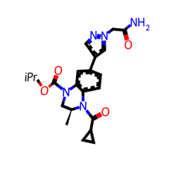 CC(C)OC(=O)N1C[C@H](C)N(C(=O)C2CC2)c2ccc(-c3cnn(CC(N)=O)c3)cc21